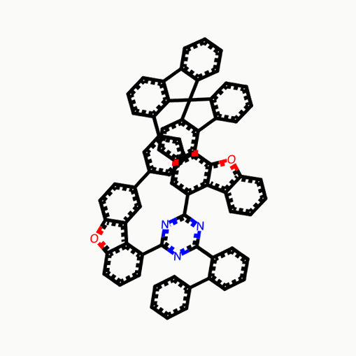 c1ccc(-c2ccccc2-c2nc(-c3cccc4oc5ccccc5c34)nc(-c3cccc4oc5ccc(-c6cccc(-c7cccc8c7C7(c9ccccc9-c9ccccc97)c7ccccc7-8)c6)cc5c34)n2)cc1